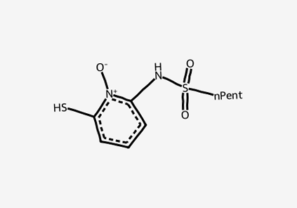 CCCCCS(=O)(=O)Nc1cccc(S)[n+]1[O-]